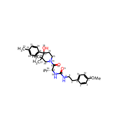 COc1ccc(CCNC(=O)N[C@@H](C(=O)N2CCC(O)(c3ccc(C)cc3)C(C)(C)C2)C(C)C)cc1